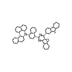 c1ccc2c3c(ccc2c1)N(c1ccc(-c2nc(-c4ccc5c(c4)sc4ccccc45)c4oc5ccccc5c4n2)c2ccccc12)c1cccc2cccc-3c12